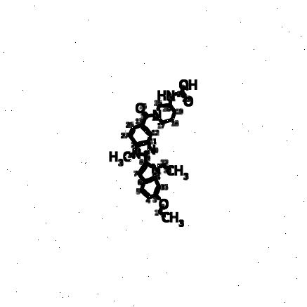 CCOc1ccc2cc(-c3nc4cc(C(=O)N5CCCC(NC(=O)O)C5)ccc4n3C)n(CC)c2c1